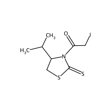 CC(C)C1CSC(=S)N1C(=O)CI